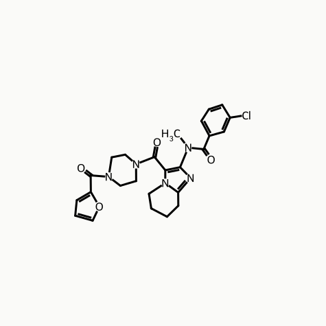 CN(C(=O)c1cccc(Cl)c1)c1nc2n(c1C(=O)N1CCN(C(=O)c3ccco3)CC1)CCCC2